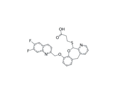 O=C(O)CCSC1Oc2c(cccc2OCc2ccc3cc(F)c(F)cc3n2)Cc2cccnc21